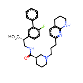 O=C(NC[C@H](C(=O)O)c1ccc(F)c(-c2ccccc2)c1)[C@@H]1CCCN(CCCc2ccc3c(n2)NCCC3)C1